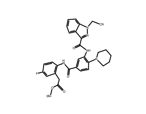 CC(C)(C)OC(=O)Cc1cc(F)ccc1NC(=O)c1ccc(N2CCCCC2)c(NC(=O)c2nn(CC#N)c3ccccc23)c1